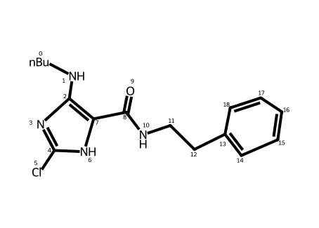 CCCCNc1nc(Cl)[nH]c1C(=O)NCCc1ccccc1